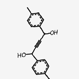 Cc1ccc(C(O)C#CC(O)c2ccc(C)cc2)cc1